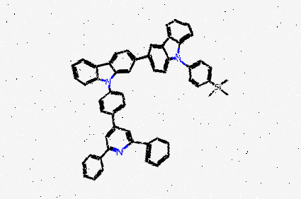 C[Si](C)(C)c1ccc(-n2c3ccccc3c3cc(-c4ccc5c6ccccc6n(-c6ccc(-c7cc(-c8ccccc8)nc(-c8ccccc8)c7)cc6)c5c4)ccc32)cc1